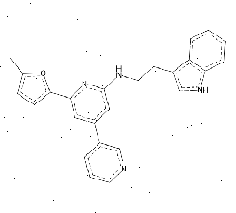 Cc1ccc(-c2cc(-c3cccnc3)cc(NCCc3c[nH]c4ccccc34)n2)o1